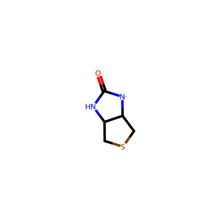 O=C1[N]C2CSCC2N1